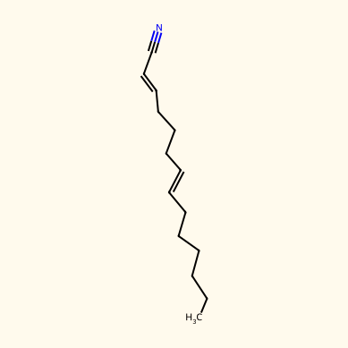 CCCCCC/C=C/CCC/C=C/C#N